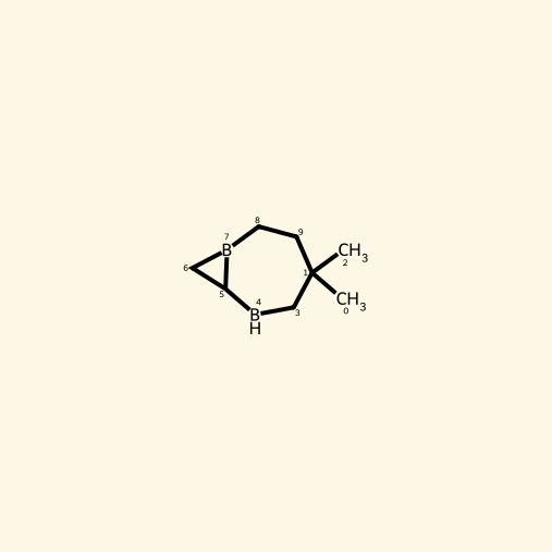 CC1(C)CBC2CB2CC1